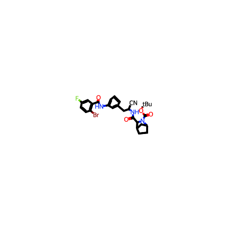 CC(C)(C)OC(=O)N1C2CCC(C2)C1C(=O)NC(C#N)Cc1cccc(NC(=O)c2cc(F)ccc2Br)c1